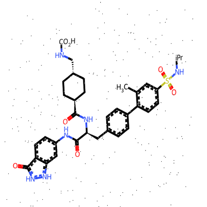 Cc1cc(S(=O)(=O)NC(C)C)ccc1-c1ccc(C[C@H](NC(=O)[C@H]2CC[C@H](CNC(=O)O)CC2)C(=O)Nc2ccc3c(=O)[nH][nH]c3c2)cc1